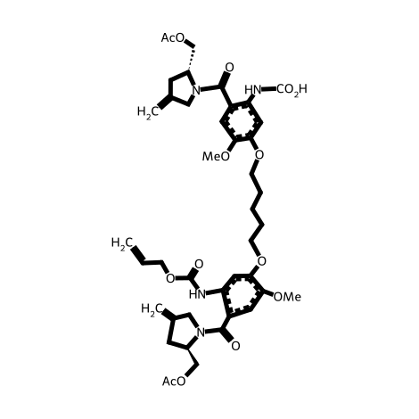 C=CCOC(=O)Nc1cc(OCCCCCOc2cc(NC(=O)O)c(C(=O)N3CC(=C)C[C@@H]3COC(C)=O)cc2OC)c(OC)cc1C(=O)N1CC(=C)C[C@@H]1COC(C)=O